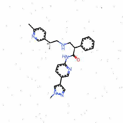 Cc1ccc([C@@H](C)CNCC(C(=O)Nc2ccc(-c3cnn(C)c3)cn2)c2ccccc2)cn1